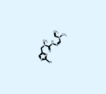 C=CN(C)/C=N\NC(=O)N(C)Cc1csc(C(C)C)n1